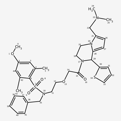 COc1cc(C)c(S(=O)(=O)N(CCOCC(=O)N2CCn3c(CN(C)C)ccc3C2c2cccs2)Cc2ccccc2)c(C)c1